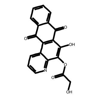 O=C(CO)Oc1c(O)c2c(c3cccnc13)C(=O)c1ccccc1C2=O